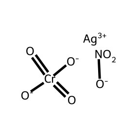 O=[N+]([O-])[O-].[Ag+3].[O]=[Cr](=[O])([O-])[O-]